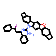 N/C(=N\C(=C/C(I)c1ccccc1)c1ccccc1)n1c2cc3c(cc2c2cc4oc5cc6c(cc5c4cc21)CC6)CC3